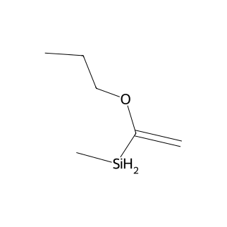 C=C(OCCC)[SiH2]C